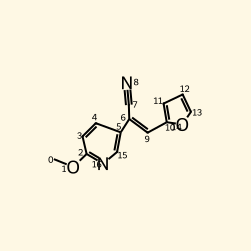 COc1ccc(C(C#N)=Cc2ccco2)cn1